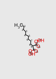 CCCCCCCCCC(C(=O)OO)C(=O)OO